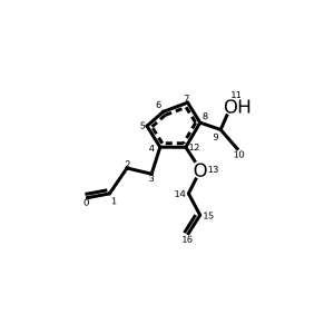 C=CCCc1cccc(C(C)O)c1OCC=C